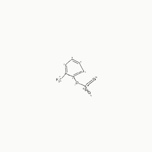 Cc1ccccc1O[SH](=O)=O